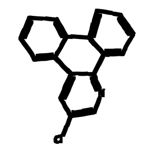 Clc1cnc2c3ccccc3c3ccccc3c2c1